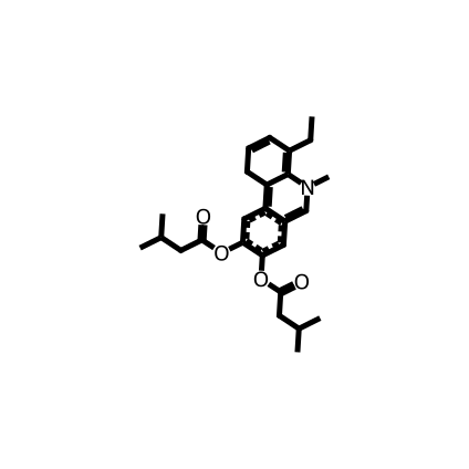 CCC1=C2C(=c3cc(OC(=O)CC(C)C)c(OC(=O)CC(C)C)cc3=CN2C)CC=C1